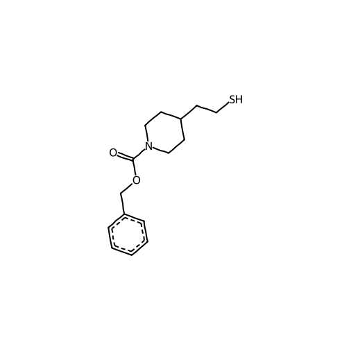 O=C(OCc1ccccc1)N1CCC(CCS)CC1